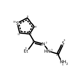 CCC(=NNC(N)=S)c1ccsc1